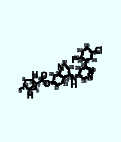 CN1C[C@H]2C[C@@H]1CC2C(=O)Oc1ccc2c(Nc3cnnc(-c4cc(Cl)ccc4F)c3)ccnc2c1